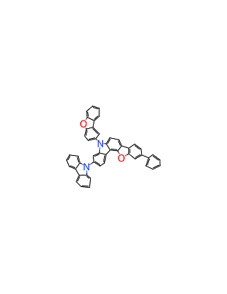 c1ccc(-c2ccc3c(c2)oc2c3ccc3c2c2ccc(-n4c5ccccc5c5ccccc54)cc2n3-c2ccc3oc4ccccc4c3c2)cc1